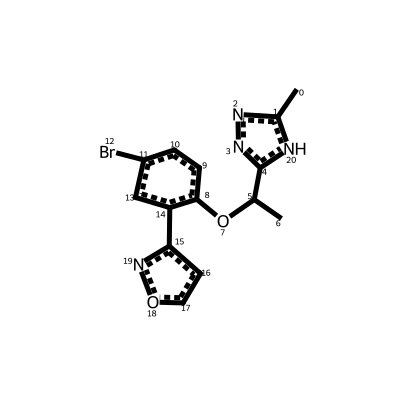 Cc1nnc(C(C)Oc2ccc(Br)cc2-c2ccon2)[nH]1